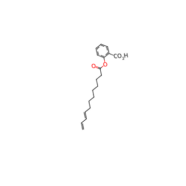 C=C/C=C/CCCCCCCC(=O)Oc1ccccc1C(=O)O